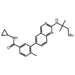 Cc1ccc(C(=O)NC2CC2)cc1-c1ccc2nc(NC(C)(C)[CH]C(C)(C)C)ncc2c1